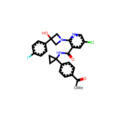 COC(=O)c1ccc(C2(NC(=O)c3cc(Cl)cnc3N3CC(O)(c4ccc(F)cc4)C3)CC2)cc1